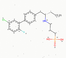 CCOC(=O)C[C@@H](Cc1ccc(-c2cc(Cl)ccc2F)cc1)NCCCP(=O)(O)O